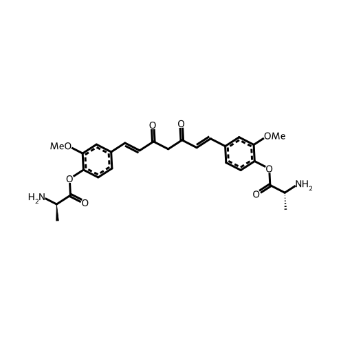 COc1cc(/C=C/C(=O)CC(=O)/C=C/c2ccc(OC(=O)[C@@H](C)N)c(OC)c2)ccc1OC(=O)[C@@H](C)N